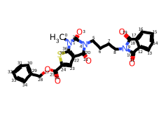 Cn1c(=O)n(CCCCN2C(=O)c3ccccc3C2=O)c(=O)c2cc(C(=O)OCc3ccccc3)sc21